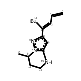 C=C/C=C(/c1cc2n(n1)C(C)CCN2)C(C)CC